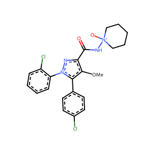 COc1c(C(=O)N[N+]2([O-])CCCCC2)nn(-c2ccccc2Cl)c1-c1ccc(Cl)cc1